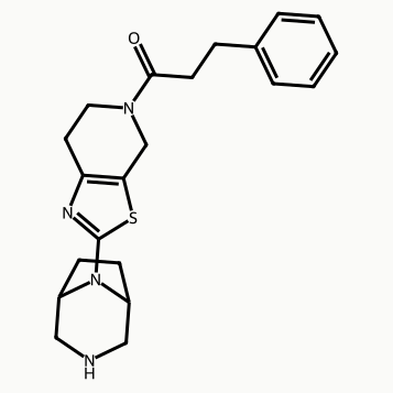 O=C(CCc1ccccc1)N1CCc2nc(N3C4CCC3CNC4)sc2C1